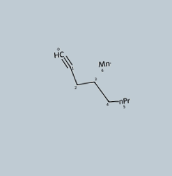 C#CCCCCCC.[Mn]